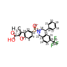 Cc1c(C(=O)O)oc2ccc([S+]([O-])N(CCc3ccccc3)Cc3ccc(C(F)(F)F)cc3)cc12